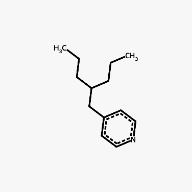 CCCC(CCC)Cc1ccncc1